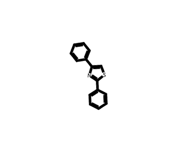 [c]1ccccc1-c1csc(-c2ccccc2)n1